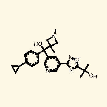 CN1CC(C)(C(O)(c2ccc(C3CC3)cc2)c2cncc(-c3noc(C(C)(C)O)n3)c2)C1